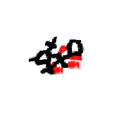 Cc1cc(C(C)(C)C)c(C(OC2CCCCC2)C(CO)(CO)CO)c(C(C)(C)C)c1